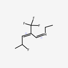 CC/N=C\C(=C/C(C)F)C(F)(F)F